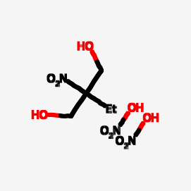 CCC(CO)(CO)[N+](=O)[O-].O=[N+]([O-])O.O=[N+]([O-])O